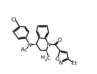 CCc1cc(C(=O)N2c3ccccc3[C@H](N(C(C)=O)c3ccc(Cl)cc3)C[C@@H]2C)on1